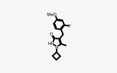 COc1ccc(Cc2c(C)n(C3CCC3)[nH]c2=O)c(F)c1